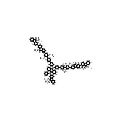 Cc1cc(-c2ccc3c(c2)C(C)(C)c2cc(-c4ccc5c(c4)C(C)(C)c4ccccc4-5)ccc2-3)cc(C)c1-c1ccc(-c2ccc(N(c3ccc(-c4ccc(-c5c(C)cc(-c6ccc7c(c6)C(C)(C)c6cc(-c8ccc9c(c8)C(C)(C)c8ccccc8-9)ccc6-7)cc5C)cc4)cc3)c3c4ccccc4c(N(c4ccccc4)c4ccc5c(c4)C(C)(C)c4ccccc4-5)c4ccccc34)cc2)cc1